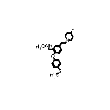 CNCc1cc(CCN2CCC(F)CC2)ccc1Oc1ccc(SC)cc1